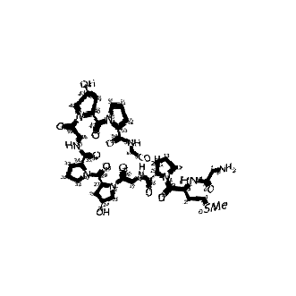 CSCC[C@H](NC(=O)CN)C(=O)N1CCC[C@H]1C(=O)NCC(=O)N1C[C@H](O)C[C@H]1C(=O)N1CCC[C@H]1C(=O)NCC(=O)N1C[C@H](O)C[C@H]1C(=O)N1CCC[C@H]1C(=O)NCC(=O)O